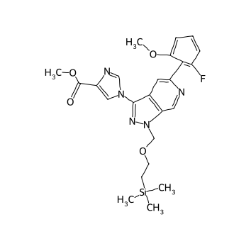 COC(=O)c1cn(-c2nn(COCC[Si](C)(C)C)c3cnc(-c4c(F)cccc4OC)cc23)cn1